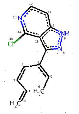 C=C/C=C\C(=C/C)c1n[nH]c2ccnc(Cl)c12